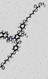 C=CC(=O)OCCCCCCOc1ccc(C(=O)Oc2cc(/C=N/N(C)c3cnc4ccccc4n3)c(OC(=O)c3ccc(OCCCCCCOC(=O)C=C)cc3)cc2C)cc1